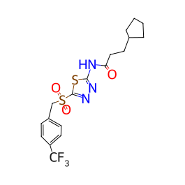 O=C(CCC1CCCC1)Nc1nnc(S(=O)(=O)Cc2ccc(C(F)(F)F)cc2)s1